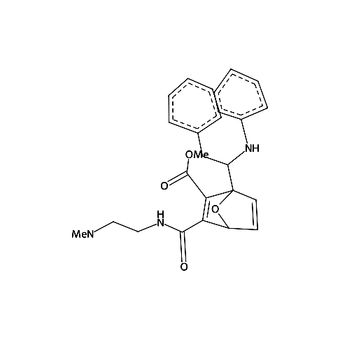 CNCCNC(=O)C1=C(C(=O)OC)C2(C(Cc3ccccc3)Nc3ccccc3)C=CC1O2